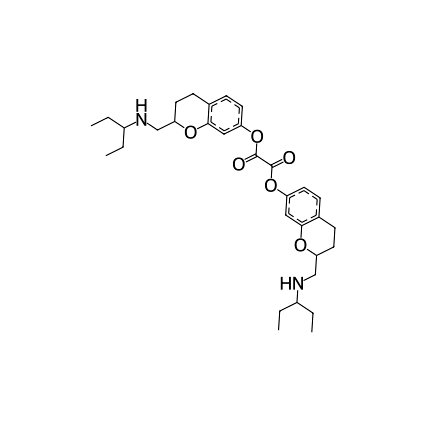 CCC(CC)NCC1CCc2ccc(OC(=O)C(=O)Oc3ccc4c(c3)OC(CNC(CC)CC)CC4)cc2O1